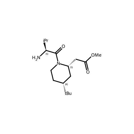 COC(=O)C[C@@H]1C[C@H](C(C)(C)C)CCN1C(=O)[C@@H](N)C(C)C